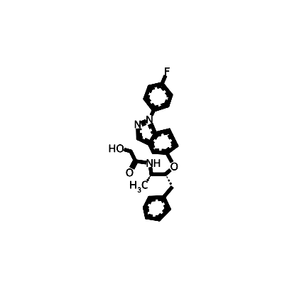 C[C@H](NC(=O)CO)[C@@H](Cc1ccccc1)Oc1ccc2c(cnn2-c2ccc(F)cc2)c1